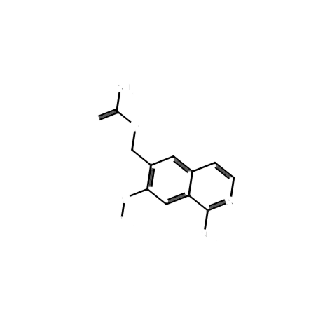 COc1cc2c(N)nccc2cc1COC(N)=O